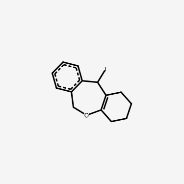 IC1C2=C(CCCC2)OCc2ccccc21